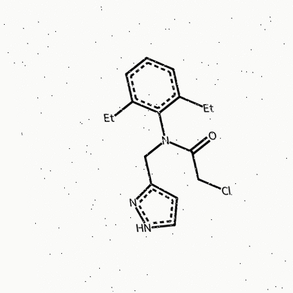 CCc1cccc(CC)c1N(Cc1cc[nH]n1)C(=O)CCl